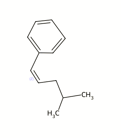 CC(C)C/C=C\c1ccccc1